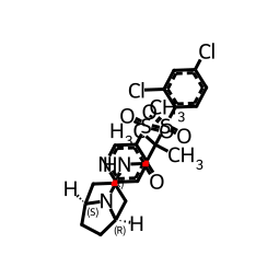 CC(C)(C(=O)N[C@H]1C[C@H]2CC[C@@H](C1)N2c1ccc(S(C)(=O)=O)cn1)S(=O)(=O)c1ccc(Cl)cc1Cl